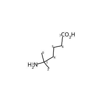 CC(C)(N)CCCC(=O)O